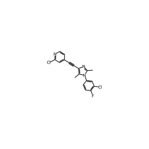 Cc1nc(C#Cc2ccnc(Cl)c2)c(C)n1-c1ccc(F)c(Cl)c1